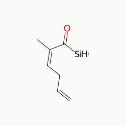 C=CCC=C(C)C(=O)[SiH]